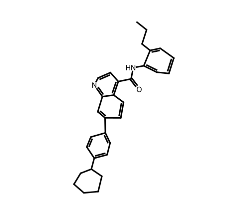 CCCc1ccccc1NC(=O)c1ccnc2cc(-c3ccc(C4CCCCC4)cc3)ccc12